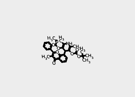 COC(=O)OC1=C(C)NC(C)=C(OC(=O)OC(C)(C)C)C1c1cccc2c(=O)c(C)c(-c3ccccc3)oc12